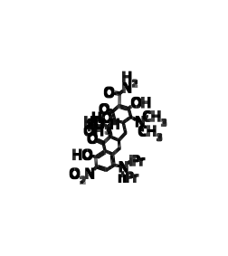 CCCN(c1cc([N+](=O)[O-])c(O)c2c1CC1CC3[C@H](N(C)C)C(O)=C(C(N)=O)C(=O)[C@@]3(O)C(O)=C1C2=O)C(C)C.O=S(=O)(O)O